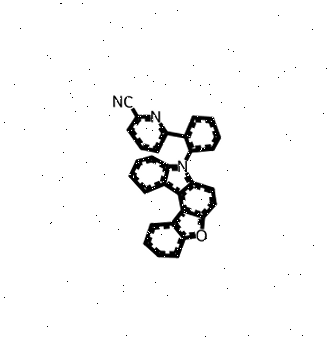 N#Cc1cccc(-c2ccccc2-n2c3ccccc3c3c4c(ccc32)oc2ccccc24)n1